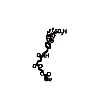 CCC(C)C(=O)OCCOC(=O)CCC(=O)NCCc1ccc(OS(=O)(=O)C(F)(F)C(F)(F)C(F)(F)S(=O)(=O)O)cc1